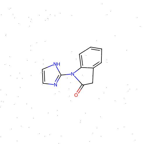 O=C1Cc2ccccc2N1c1ncc[nH]1